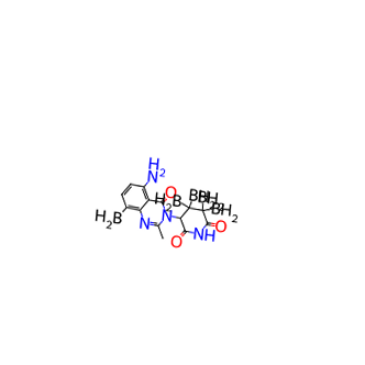 Bc1ccc(N)c2c(=O)n(C3C(=O)NC(=O)C(B)(B)C3(B)B)c(C)nc12